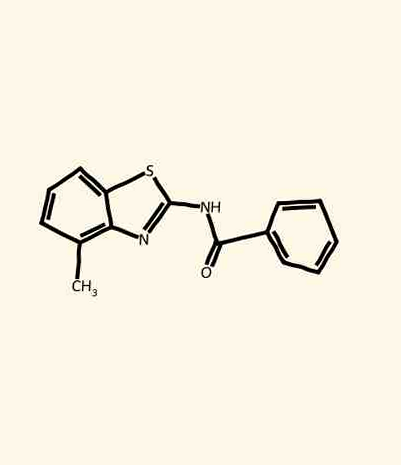 Cc1cccc2sc(NC(=O)c3ccccc3)nc12